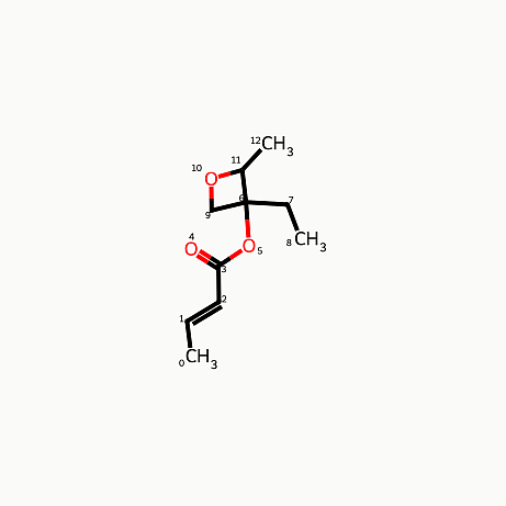 CC=CC(=O)OC1(CC)COC1C